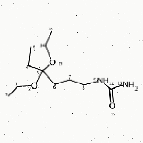 CCOC(CC)(CCCNC(N)=O)OCC